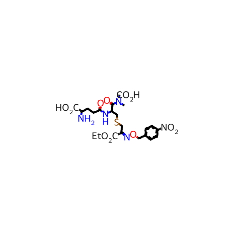 CCOC(=O)C(CSCC(NC(=O)CCC(N)C(=O)O)C(=O)N(C)C(=O)O)=NOCc1ccc([N+](=O)[O-])cc1